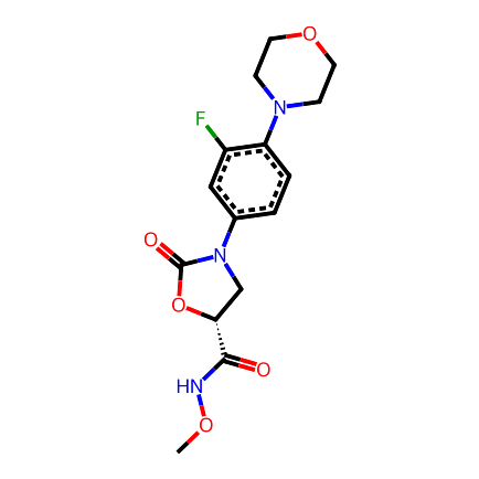 CONC(=O)[C@H]1CN(c2ccc(N3CCOCC3)c(F)c2)C(=O)O1